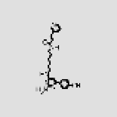 N#Cc1ccc(-c2cc(NCCCCCCNC(=O)/C=C/c3cccnc3)nc(N)n2)cc1